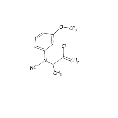 C=C(Cl)C(C)N(C#N)c1cccc(OC(F)(F)F)c1